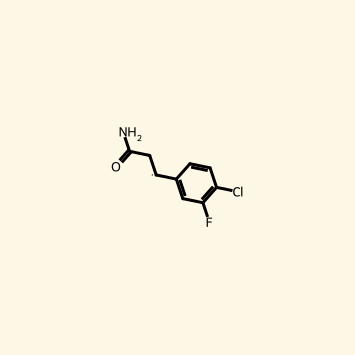 NC(=O)C[CH]c1ccc(Cl)c(F)c1